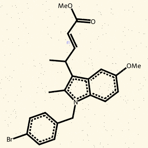 COC(=O)/C=C/C(C)c1c(C)n(Cc2ccc(Br)cc2)c2ccc(OC)cc12